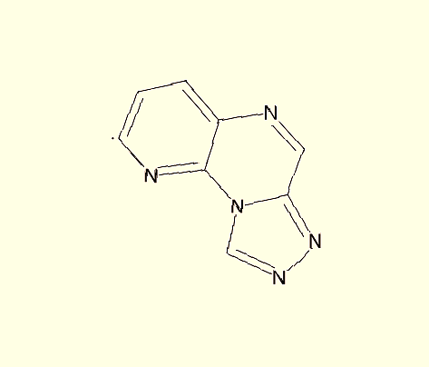 [c]1ccc2ncc3nncn3c2n1